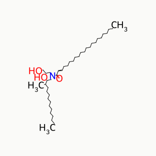 CCCCCCCCCCCCCCCCCCCC=CC(=O)N(CCC(C)CCCCCCCCCCCC)CC(O)CO